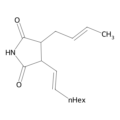 CC=CCC1C(=O)NC(=O)C1C=CCCCCCC